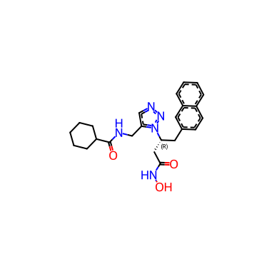 O=C(C[C@@H](Cc1ccc2ccccc2c1)n1nncc1CNC(=O)C1CCCCC1)NO